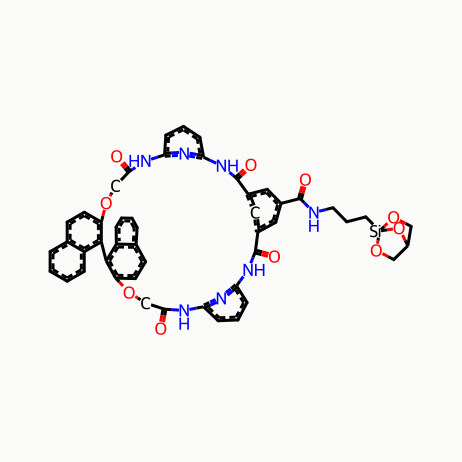 O=C1COc2ccc3ccccc3c2-c2c(ccc3ccccc23)OCC(=O)Nc2cccc(n2)NC(=O)c2cc(C(=O)NCCC[Si]34OCC(CO3)O4)cc(c2)C(=O)Nc2cccc(n2)N1